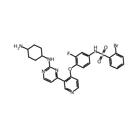 NC1CCC(Nc2nccc(-c3cnccc3Oc3ccc(NS(=O)(=O)c4ccccc4Br)cc3F)n2)CC1